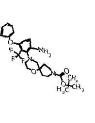 CC(C)(C)OC(=O)N1CCC2(CC1)CN(c1c(N)ccc(Oc3ccccc3)c1C(F)(F)F)CCO2